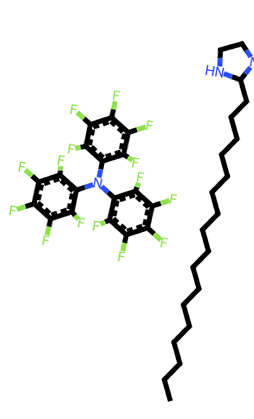 CCCCCCCCCCCCCCCCCC1NCCN1.Fc1c(F)c(F)c(N(c2c(F)c(F)c(F)c(F)c2F)c2c(F)c(F)c(F)c(F)c2F)c(F)c1F